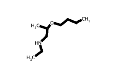 C[CH]CCOC(C)CNCC